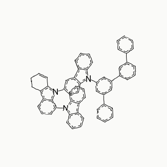 C1=Cc2c(c3cccc(-n4c5ccccc5c5ccccc54)c3n2-c2ccc3c(c2)c2ccccc2n3-c2cc(-c3ccccc3)cc(-c3cccc(-c4ccccc4)c3)c2)CC1